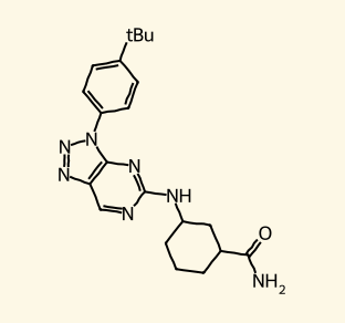 CC(C)(C)c1ccc(-n2nnc3cnc(NC4CCCC(C(N)=O)C4)nc32)cc1